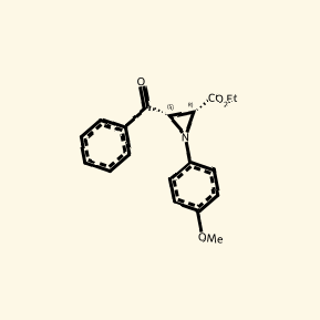 CCOC(=O)[C@H]1[C@@H](C(=O)c2ccccc2)N1c1ccc(OC)cc1